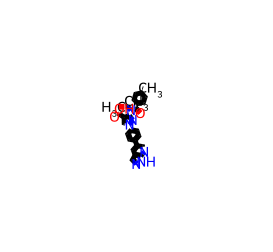 CC(C)N(c1nn(-c2ccc(-c3cnc4[nH]ncc4c3)cc2)cc1C(=O)O)C(=O)[C@H]1CC[C@H](C)CC1